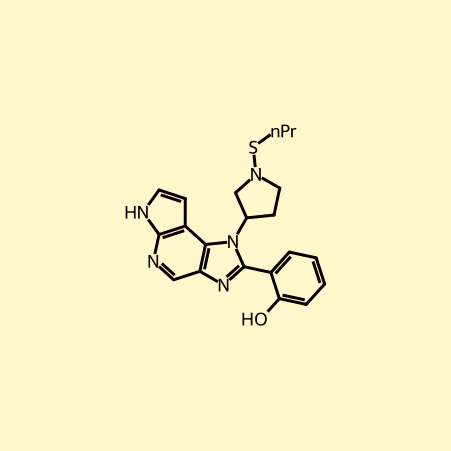 CCCSN1CCC(n2c(-c3ccccc3O)nc3cnc4[nH]ccc4c32)C1